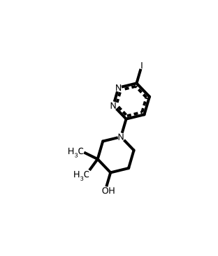 CC1(C)CN(c2ccc(I)nn2)CCC1O